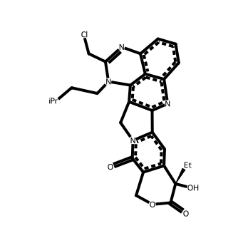 CC[C@@]1(O)C(=O)OCc2c1cc1n(c2=O)Cc2c-1nc1cccc3c1c2N(CCC(C)C)C(CCl)=N3